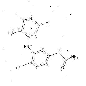 NC(=O)Oc1ccc(F)c(Nc2nc(Cl)ncc2N)c1